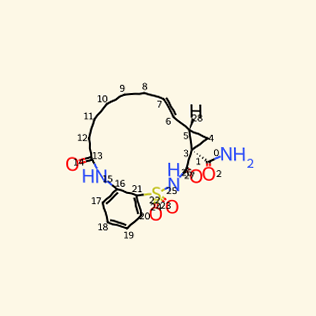 NC(=O)[C@@]12C[C@H]1/C=C/CCCCCC(=O)Nc1ccccc1S(=O)(=O)NC2=O